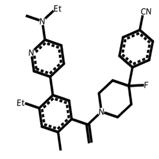 C=C(c1cc(-c2ccc(N(C)CC)nc2)c(CC)cc1C)N1CCC(F)(c2ccc(C#N)cc2)CC1